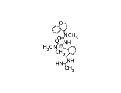 CC(=N)NCc1ccccc1C[C@H](NC(=O)N(C)[C@H]1CCOc2ccccc21)C(=O)N(C)C